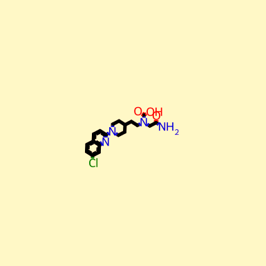 NC(=O)CN(CCC1CCN(c2ccc3ccc(Cl)cc3n2)CC1)C(=O)O